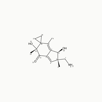 CC1=C2C(=C[C@@](C)(CN)[C@@H]2O)C(=O)[C@](C)(O)C12CC2